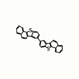 c1ccc2c(c1)ccc1c3cc(-c4ccc5sc6c7ccccc7ccc6c5c4)ccc3sc21